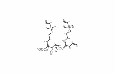 C=CCC(=NCCO[Si](C)(C)C=C)C(=O)[O-].C=CCC(=NCCO[Si](C)(C)C=C)C(=O)[O-].[Cu+2]